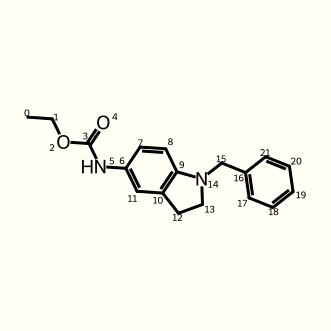 CCOC(=O)Nc1ccc2c(c1)CCN2Cc1ccccc1